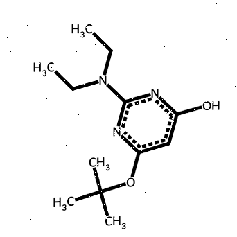 CCN(CC)c1nc(O)cc(OC(C)(C)C)n1